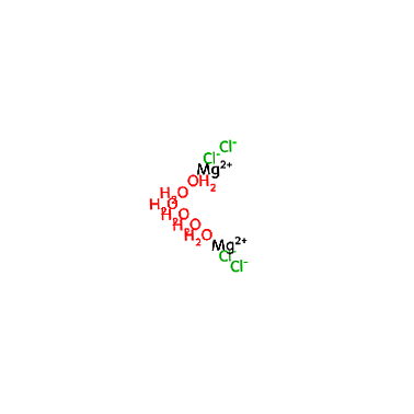 O.O.O.O.O.O.[Cl-].[Cl-].[Cl-].[Cl-].[Mg+2].[Mg+2]